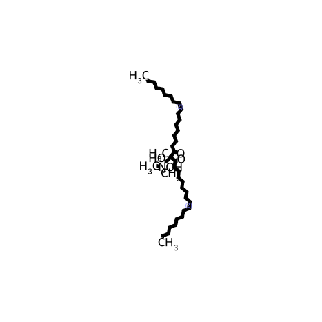 CCCCCCCC/C=C\CCCCCCCC(=O)C(C)(C(=O)CCCCCCC/C=C\CCCCCCCC)C(O)(O)N(C)C